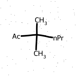 CCCC(C)(C)C(C)=O